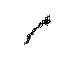 O=C1CCC(N2C(=O)c3ccc(N4CCN(CCC5CCN(c6cc7ccn(-c8cc9cc(F)ccc9cn8)c7cn6)CC5)CC4)cc3C2=O)C(=O)N1